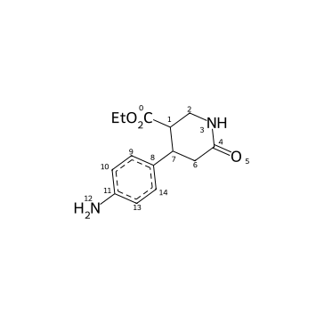 CCOC(=O)C1CNC(=O)CC1c1ccc(N)cc1